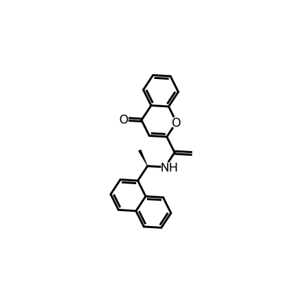 C=C(N[C@H](C)c1cccc2ccccc12)c1cc(=O)c2ccccc2o1